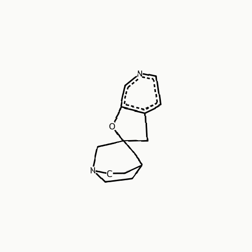 c1cc2c(cn1)OC1(C2)CN2CCC1CC2